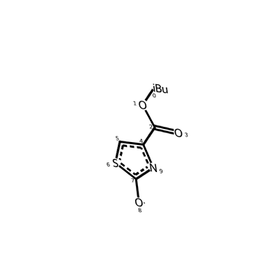 CCC(C)OC(=O)c1csc([O])n1